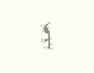 CC(C)CCC[C@@H](C)[C@H]1CC[C@H]2[C@@H]3CC=C4C[C@@H](SSCCC(=O)N(CCCCNCCC(C)N)CCC(C)N)CC[C@]4(C)[C@H]3CC[C@]12C